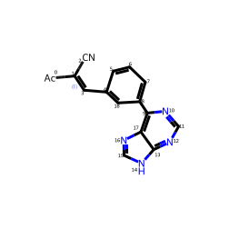 CC(=O)/C(C#N)=C/c1cccc(-c2ncnc3[nH]cnc23)c1